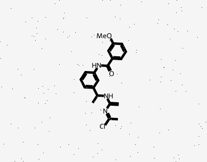 C=C(/N=C(\C)Cl)NC(C)c1cccc(NC(=O)c2cccc(OC)c2)c1